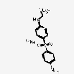 Nc1ccc(S(=O)(=O)c2ccc(NCC(=O)O)cc2)cc1.[NaH]